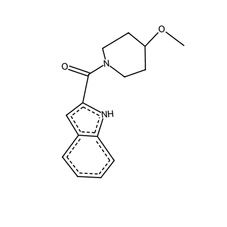 COC1CCN(C(=O)c2cc3ccccc3[nH]2)CC1